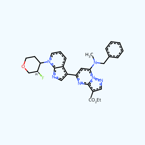 CCOC(=O)c1cnn2c(N(C)Cc3ccccc3)cc(-c3cnc4n(C5CCOC[C@@H]5F)cccc3-4)nc12